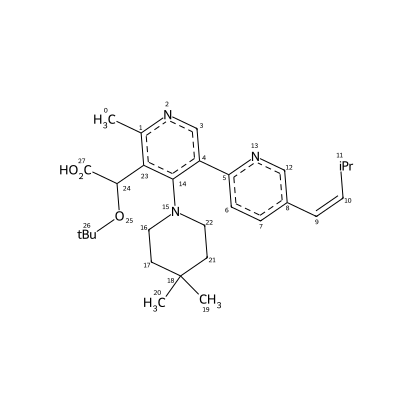 Cc1ncc(-c2ccc(/C=C\C(C)C)cn2)c(N2CCC(C)(C)CC2)c1C(OC(C)(C)C)C(=O)O